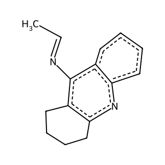 CC=Nc1c2c(nc3ccccc13)CCCC2